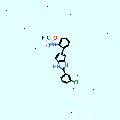 O=S(=O)(Nc1ccccc1-c1ccc2[nH]c(-c3cccc(Cl)c3)nc2c1)C(F)(F)F